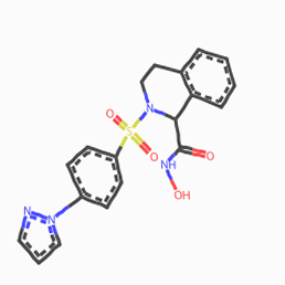 O=C(NO)C1c2ccccc2CCN1S(=O)(=O)c1ccc(-n2cccn2)cc1